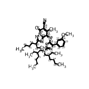 CCCCC(CC)CN(CC(CC)CCCC)c1nc(-c2cccc(OC)c2)c(/N=C2/C(C)=C(C#N)C(=O)n3nc(C(CC)CCCC)nc32)s1